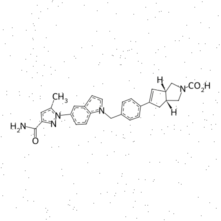 Cc1cc(C(N)=O)nn1-c1ccc2c(ccn2Cc2ccc(C3=C[C@@H]4CN(C(=O)O)C[C@@H]4C3)cc2)c1